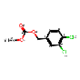 CCCCCCOC(=O)OCc1ccc(Cl)c(Cl)c1